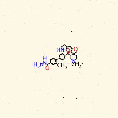 Cc1cc(C(=O)NN)ccc1-c1ccc(C(=O)C2CN(C)CCC23COc2cc4c(cc23)NCC4)cc1